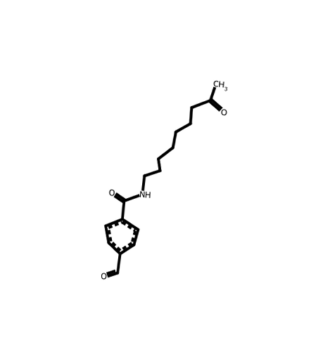 CC(=O)CCCCCCCNC(=O)c1ccc(C=O)cc1